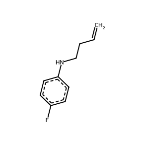 C=CCCNc1ccc(F)cc1